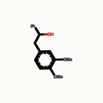 COc1ccc(CC(O)C(C)C)cc1OC